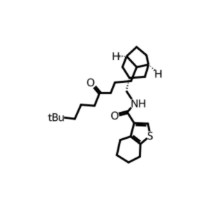 CC(C)(C)CCCC(=O)CCCC1[C@@H]2CC[C@H]1C[C@H](CNC(=O)c1csc3c1CCCC3)C2